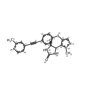 Cc1cc(C#Cc2ccc(Sc3cnn(C)c3C3NC(=O)NC3=O)cc2)ccn1